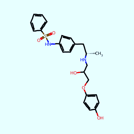 C[C@@H](Cc1ccc(NS(=O)(=O)c2ccccc2)cc1)NCC(O)COc1ccc(O)cc1